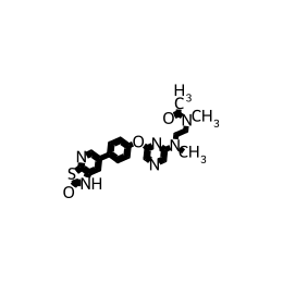 CC(=O)N(C)CCN(C)c1cncc(Oc2ccc(-c3cnc4sc(=O)[nH]c4c3)cc2)n1